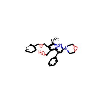 CCCc1c(COCC2CCCCC2)c(CO)c2c(-c3ccccc3)cc(N3CCOCC3)nn12